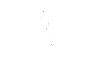 NC(=O)c1c(OCc2cccnc2)nsc1NC(=O)NCCN1CCOCC1